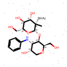 CC(=O)N[C@]1(C)[C@H](O[C@@H]2[C@@H](Nc3ccccc3)[C@@H](O)CO[C@@H]2CO)O[C@H](CO)[C@@H](O)[C@@H]1O